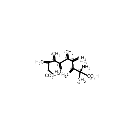 C=C(CC(=O)O)C(=C)C(=C)C(=C)C(=C)C(=C)C(N)(N)C(=O)O